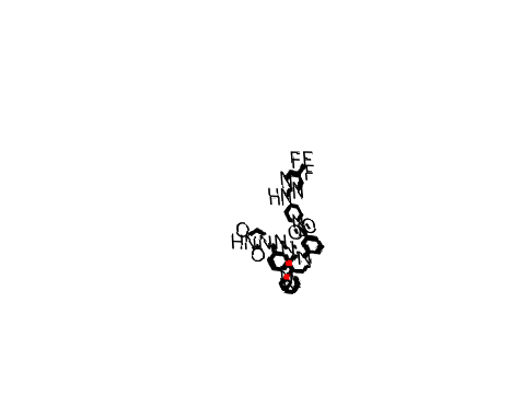 Cn1nc(N2CCC(=O)NC2=O)c2ccc(N3CC4CC(C3)N4CC3CCN(c4cccc(S(=O)(=O)N5CCC(Nc6ncc(C(F)(F)F)cn6)CC5)c4)CC3)cc21